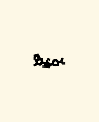 CCN(C)C1CCC(c2n[nH]c(-c3cc(C)c4ncnn4c3)c2C(C)C)CC1